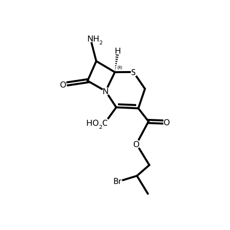 CC(Br)COC(=O)C1=C(C(=O)O)N2C(=O)C(N)[C@H]2SC1